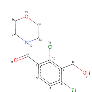 O=C(c1ccc(Cl)c(CO)c1Cl)N1CCOCC1